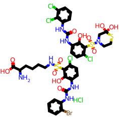 Cl.NC(CCCCNS(=O)(=O)c1c(Cl)ccc(NC(=O)Nc2ccccc2Br)c1O)C(=O)O.O=C(Nc1ccc(Cl)c(S(=O)(=O)N2CCSC(O)(O)C2)c1O)Nc1cccc(Cl)c1Cl